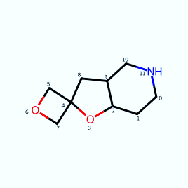 C1CC2OC3(COC3)CC2CN1